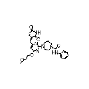 COCCOc1cc(C=C2SC(=O)NC2=O)nc(N2CCCN(C(=O)Nc3ccccc3)CC2)n1